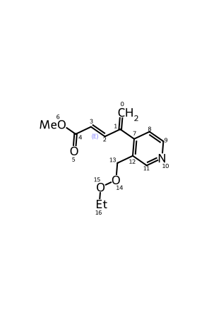 C=C(/C=C/C(=O)OC)c1ccncc1COOCC